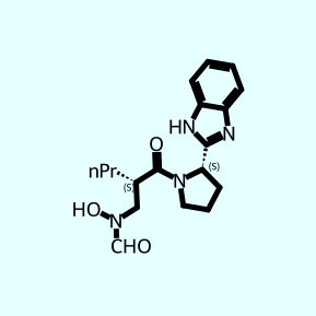 CCC[C@@H](CN(O)C=O)C(=O)N1CCC[C@H]1c1nc2ccccc2[nH]1